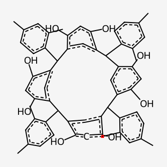 Cc1ccc(C2c3cc(c(O)cc3O)C(c3ccc(C)cc3C)c3cc(c(O)cc3O)C(c3ccc(C)cc3C)c3cc(c(O)cc3O)C(c3ccc(C)cc3C)c3cc2c(O)cc3O)c(C)c1